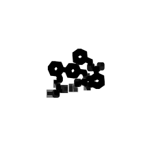 CCOc1nc2cccc(C(=O)OCc3ccccc3)c2n1Cc1ccc(-c2ccccc2C=NNO)cc1